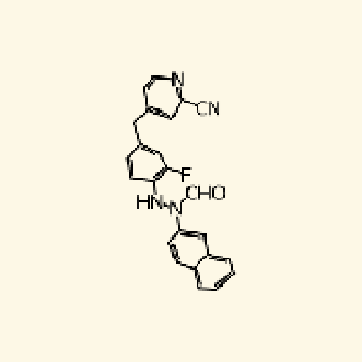 N#Cc1cc(Cc2ccc(NN(C=O)c3ccc4ccccc4c3)c(F)c2)ccn1